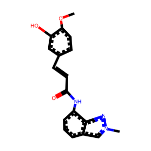 COc1ccc(C=CC(=O)Nc2cccc3cn(C)nc23)cc1O